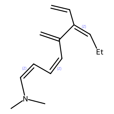 C=C/C(=C/CC)C(=C)/C=C\C=C/N(C)C